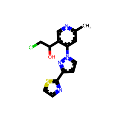 Cc1cc(-n2ccc(-c3nccs3)n2)c(C(O)CCl)cn1